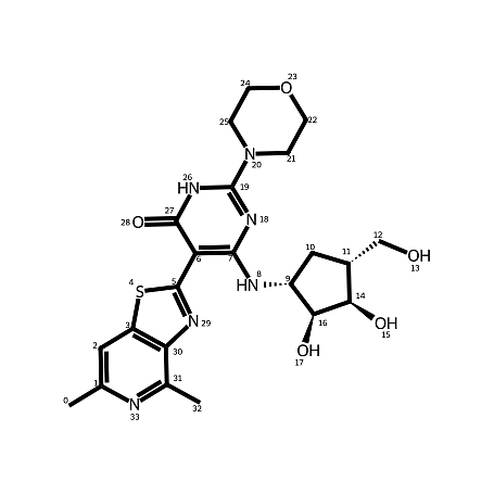 Cc1cc2sc(-c3c(N[C@@H]4C[C@H](CO)[C@@H](O)[C@H]4O)nc(N4CCOCC4)[nH]c3=O)nc2c(C)n1